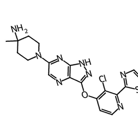 CC1(N)CCN(c2cnc3c(Oc4ccnc(-c5nccs5)c4Cl)n[nH]c3n2)CC1